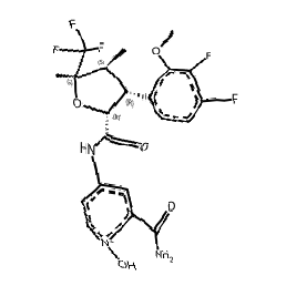 COc1c([C@@H]2[C@H](C(=O)Nc3cc[n+](O)c(C(N)=O)c3)O[C@](C)(C(F)(F)F)[C@H]2C)ccc(F)c1F